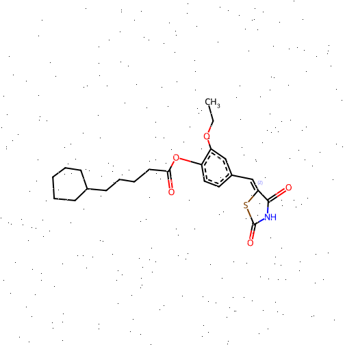 CCOc1cc(/C=C2\SC(=O)NC2=O)ccc1OC(=O)CCCCC1CCCCC1